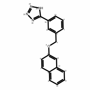 c1cc(COc2ccc3ccccc3c2)cc(-c2nnn[nH]2)c1